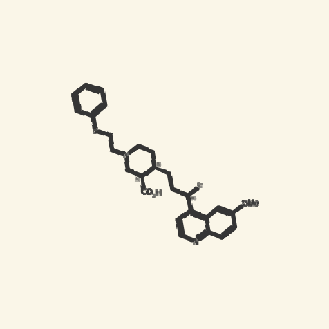 COc1ccc2nccc([C@H](F)CC[C@@H]3CCN(CCSc4ccccc4)C[C@@H]3C(=O)O)c2c1